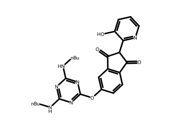 CCCCNc1nc(NCCCC)nc(Oc2ccc3c(c2)C(=O)C(c2ncccc2O)C3=O)n1